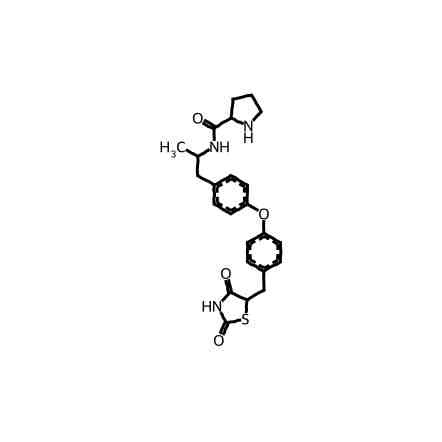 CC(Cc1ccc(Oc2ccc(CC3SC(=O)NC3=O)cc2)cc1)NC(=O)C1CCCN1